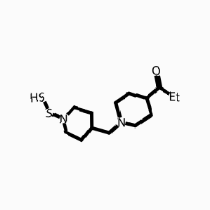 CCC(=O)C1CCN(CC2CCN(SS)CC2)CC1